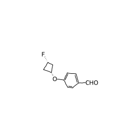 O=Cc1ccc(O[C@H]2C[C@@H](F)C2)cc1